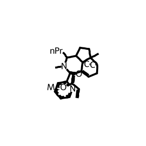 C=C/C(=C\C1=CCC2CCC13C(C(CCC)N(C)C(=O)c1ccccn1)CCC23C)OC